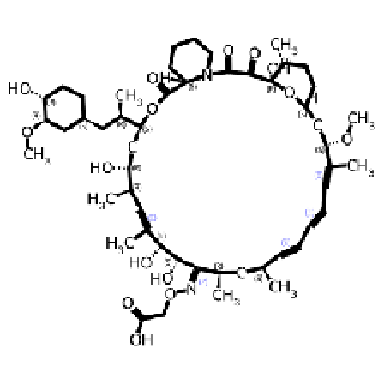 CO[C@H]1C[C@@H]2CC[C@@H](C)[C@@](O)(O2)C(=O)C(=O)N2CCCC[C@H]2C(=O)O[C@H]([C@H](C)C[C@@H]2CC[C@@H](O)[C@H](OC)C2)C[C@@H](O)[C@H](C)/C=C(\C)[C@@H](O)[C@@H](O)/C(=N\OCC(=O)O)[C@H](C)C[C@H](C)/C=C/C=C/C=C/1C